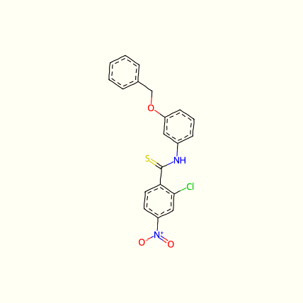 O=[N+]([O-])c1ccc(C(=S)Nc2cccc(OCc3ccccc3)c2)c(Cl)c1